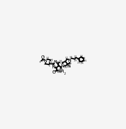 CC(=O)N1CCN(c2nc(C)c(C(=O)N3CC4CN(CC[CH]c5ccccc5)C[C@H]4C3)c(C(N)=O)n2)CC1